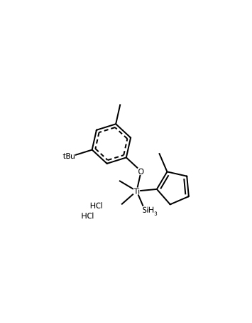 CC1=[C]([Ti]([CH3])([CH3])([SiH3])[O]c2cc(C)cc(C(C)(C)C)c2)CC=C1.Cl.Cl